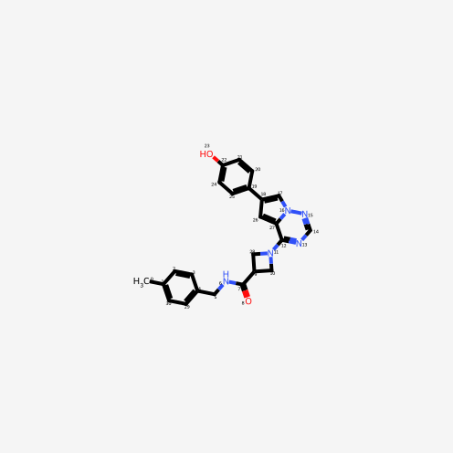 Cc1ccc(CNC(=O)C2CN(c3ncnn4cc(-c5ccc(O)cc5)cc34)C2)cc1